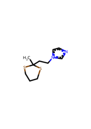 CC1(CCn2ccnc2)SCCCS1